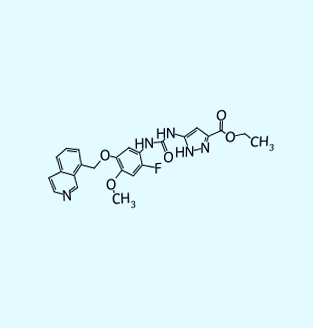 CCOC(=O)c1cc(NC(=O)Nc2cc(OCc3cccc4ccncc34)c(OC)cc2F)[nH]n1